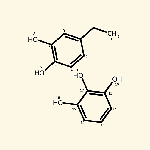 CCc1ccc(O)c(O)c1.Oc1cccc(O)c1O